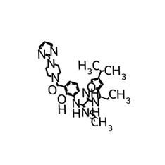 CC[C@@H](NC(=N)/C(=N\SC)Nc1cccc(C(=O)N2CCN(c3ncccn3)CC2)c1O)c1cc(C(C)C)co1